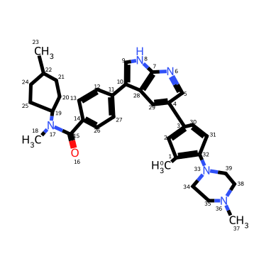 Cc1cc(-c2cnc3[nH]cc(-c4ccc(C(=O)N(C)C5CCC(C)CC5)cc4)c3c2)ccc1N1CCN(C)CC1